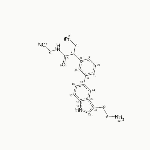 CC(C)CC(C(=O)NCC#N)c1cccc(-c2ccc3[nH]cc(CCN)c3c2)c1